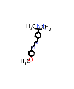 CCC(N)(CC)c1ccc(/C=C/C=C/c2ccc(OC)cc2)cc1